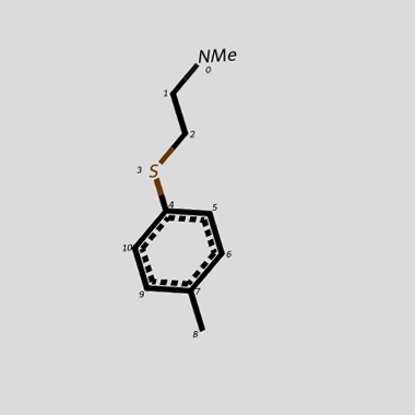 CNCCSc1ccc(C)cc1